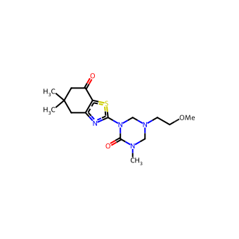 COCCN1CN(C)C(=O)N(c2nc3c(s2)C(=O)CC(C)(C)C3)C1